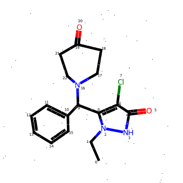 CCn1[nH]c(=O)c(Cl)c1C(c1ccccc1)N1CCC(=O)CC1